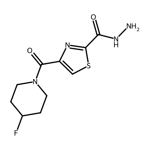 NNC(=O)c1nc(C(=O)N2CCC(F)CC2)cs1